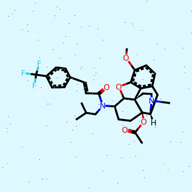 COc1ccc2c3c1OC1C(N(CC(C)C)C(=O)/C=C/c4ccc(C(F)(F)F)cc4)CC[C@@]4(OC(C)=O)[C@@H](C2)N(C)CC[C@]314